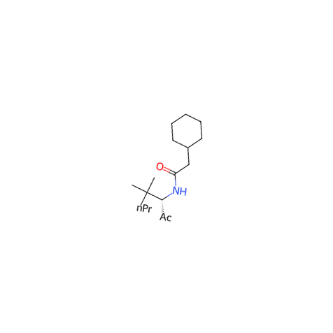 CCCC(C)(C)[C@H](NC(=O)CC1CCCCC1)C(C)=O